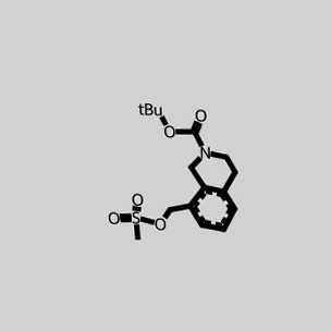 CC(C)(C)OC(=O)N1CCc2cccc(COS(C)(=O)=O)c2C1